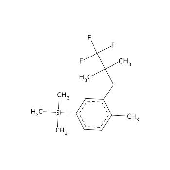 Cc1ccc([Si](C)(C)C)cc1CC(C)(C)C(F)(F)F